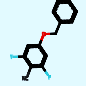 N#Cc1c(F)cc(OCc2ccccc2)cc1F